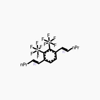 CCC/C=C/c1ccc(/C=C/CCC)c(S(F)(F)(F)(F)F)c1S(F)(F)(F)(F)F